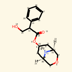 CC(C)N1[C@@H]2COC[C@H]1C[C@@H](OC(=O)C(CO)c1ccccc1)C2